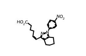 O=C(O)CCC/C=C\c1nn(-c2ccc([N+](=O)[O-])cc2)c2c1CCCC2